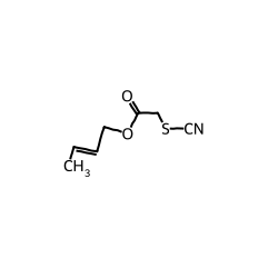 CC=CCOC(=O)CSC#N